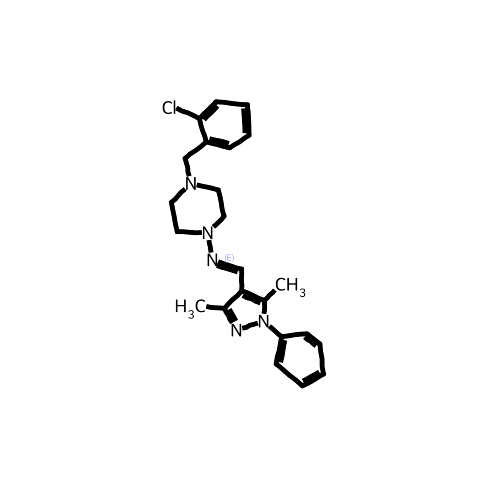 Cc1nn(-c2ccccc2)c(C)c1/C=N/N1CCN(Cc2ccccc2Cl)CC1